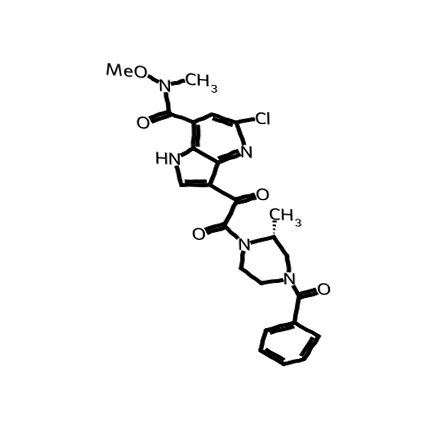 CON(C)C(=O)c1cc(Cl)nc2c(C(=O)C(=O)N3CCN(C(=O)c4ccccc4)C[C@H]3C)c[nH]c12